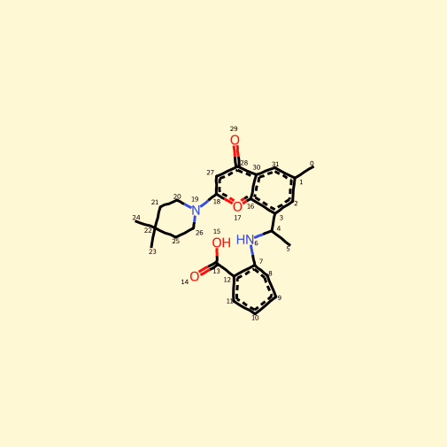 Cc1cc(C(C)Nc2ccccc2C(=O)O)c2oc(N3CCC(C)(C)CC3)cc(=O)c2c1